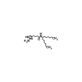 CCCCCCC(CCCCCC)NC(=O)CCCc1c[nH]c(N)n1